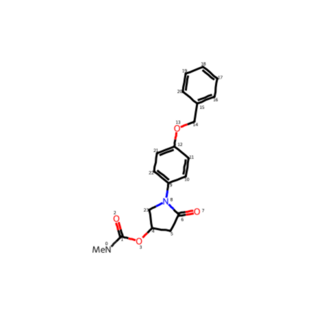 CNC(=O)OC1CC(=O)N(c2ccc(OCc3ccccc3)cc2)C1